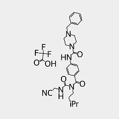 CC(C)CCN(C(=O)NCC#N)C(=O)c1ccc(NC(=O)N2CCN(Cc3ccccc3)CC2)cc1.O=C(O)C(F)(F)F